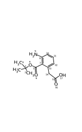 CC(C)(C)OC(=O)c1c(N)cccc1CC(=O)O